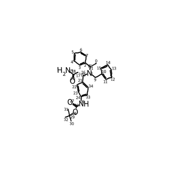 C[C@H](c1ccccc1)N(Cc1ccccc1)[C@@H](CC(N)=O)c1ccc(NC(=O)OC(C)(C)C)cc1